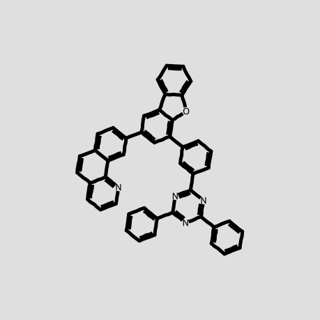 c1ccc(-c2nc(-c3ccccc3)nc(-c3cccc(-c4cc(-c5ccc6ccc7cccnc7c6c5)cc5c4oc4ccccc45)c3)n2)cc1